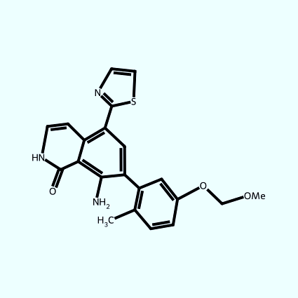 COCOc1ccc(C)c(-c2cc(-c3nccs3)c3cc[nH]c(=O)c3c2N)c1